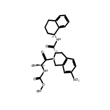 CC(C)(C)OC(=O)N[C@H](C(=O)N1Cc2cc([N+](=O)[O-])ccc2C[C@H]1C(=O)N[C@@H]1CCCc2ccccc21)C(C)(C)C